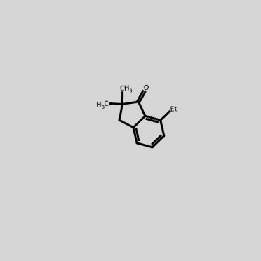 CCc1cccc2c1C(=O)C(C)(C)C2